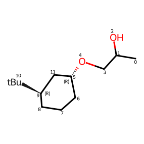 CC(O)CO[C@@H]1CCC[C@@H](C(C)(C)C)C1